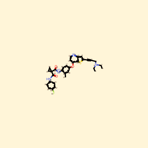 CCN(CC)CC#Cc1cc2nccc(Oc3ccc(NC(=O)C4(C(=O)Nc5ccc(F)cc5)CC4)c(C)c3)c2s1